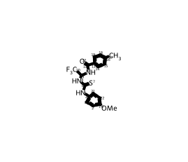 COc1ccc(NC(=S)NC(NC(=O)c2ccc(C)cc2)C(F)(F)F)cc1